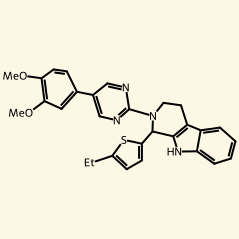 CCc1ccc(C2c3[nH]c4ccccc4c3CCN2c2ncc(-c3ccc(OC)c(OC)c3)cn2)s1